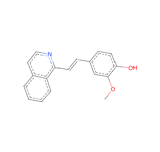 COc1cc(C=Cc2nccc3ccccc23)ccc1O